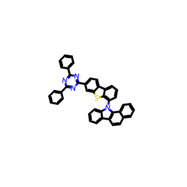 c1ccc(-c2nc(-c3ccccc3)nc(-c3ccc4c(c3)sc3c(-n5c6ccccc6c6ccc7ccccc7c65)cccc34)n2)cc1